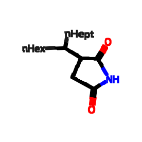 CCCCCCCC(CCCCCC)C1CC(=O)NC1=O